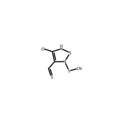 N#CSN1SNC(Cl)=C1C=S